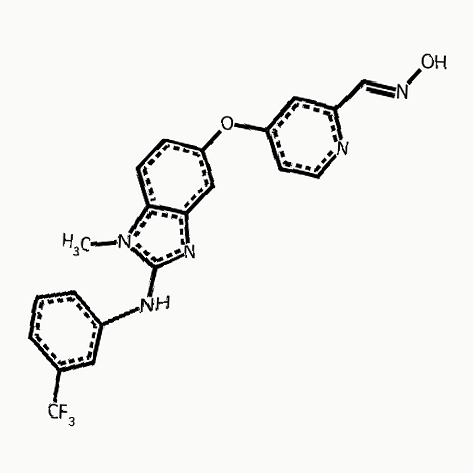 Cn1c(Nc2cccc(C(F)(F)F)c2)nc2cc(Oc3ccnc(C=NO)c3)ccc21